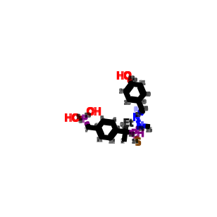 CCC(C)(c1ccc(CP(O)O)cc1)[PH](=S)N(C)/N=C/c1ccc(O)cc1